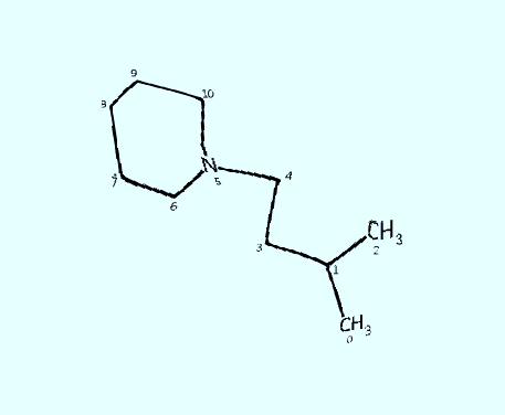 CC(C)CCN1C[CH]CCC1